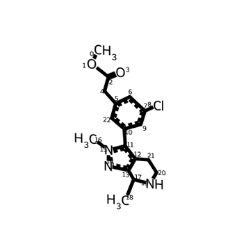 COC(=O)Cc1cc(Cl)cc(-c2c3c(nn2C)C(C)NCC3)c1